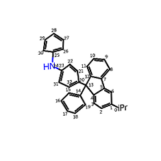 CC(C)c1ccc2c(c1)-c1ccccc1C2(c1ccccc1)c1ccc(Nc2ccccc2)cc1